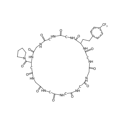 O=C1CNC(=O)CNC(=O)CNC(=O)CC(C(=O)N2CCCC2)NC(=O)CNC(=O)CNC(=O)CNC(=O)C(CCc2ccc(C(F)(F)F)cc2)NC(=O)CNC(=O)CNC(=O)CN1